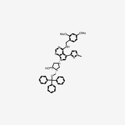 COc1ccc(CNc2ncnc3c2c(-c2ccn(C)n2)cn3[C@@H]2C[C@H](COC(c3ccccc3)(c3ccccc3)c3ccccc3)[C@@H](O)C2)c(OC)c1